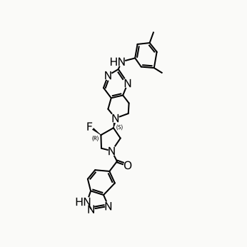 Cc1cc(C)cc(Nc2ncc3c(n2)CCN([C@H]2CN(C(=O)c4ccc5[nH]nnc5c4)C[C@H]2F)C3)c1